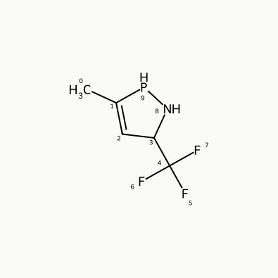 CC1=CC(C(F)(F)F)NP1